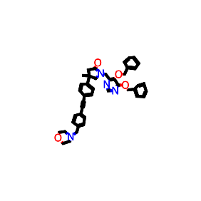 CC1(c2ccc(C#Cc3ccc(CN4CCOCC4)cc3)cc2)CC(=O)N(Cc2ncnc(OCc3ccccc3)c2OCc2ccccc2)C1